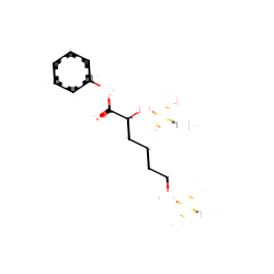 CS(=O)(=O)OCCCCC(OS(C)(=O)=O)C(=O)Oc1ccccc1